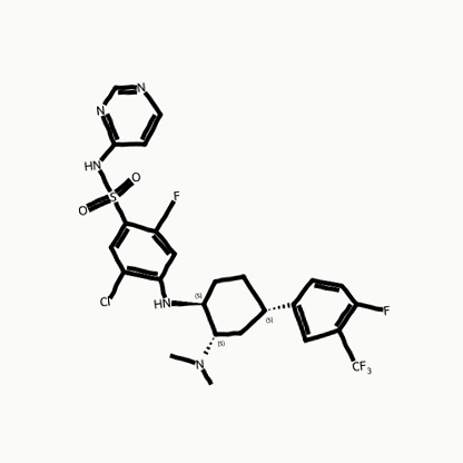 CN(C)[C@H]1C[C@@H](c2ccc(F)c(C(F)(F)F)c2)CC[C@@H]1Nc1cc(F)c(S(=O)(=O)Nc2ccncn2)cc1Cl